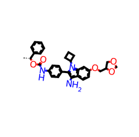 C[C@@H](OC(=O)Nc1ccc(-c2c(N)c3ccc(OCC4COCO4)cc3n2C2CCC2)cc1)c1ccccc1